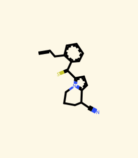 C=CCc1ccccc1C(=S)c1ccc2n1CCCC2C#N